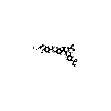 N=C(N)Nc1ccc(C(=O)Oc2ccc3c(C(=O)N(CC(=O)O)Cc4cccc(C(=O)N=O)c4)csc3c2)cc1